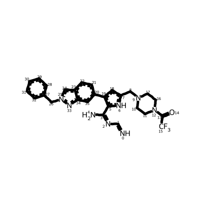 N=C/N=C(/N)c1[nH]c(CN2CCN(C(=O)C(F)(F)F)CC2)cc1-c1ccc2cn(Cc3ccccc3)nc2c1